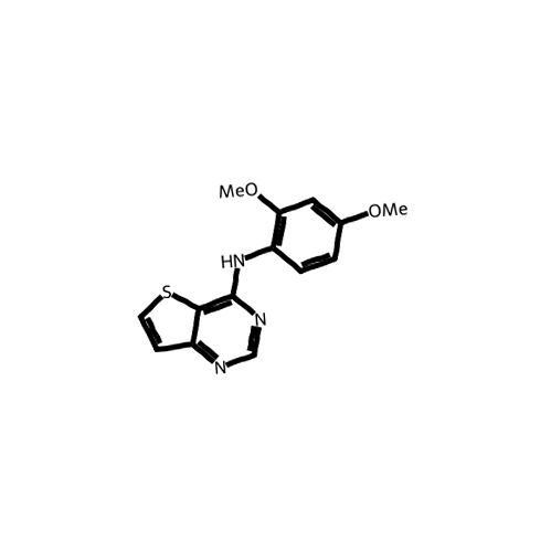 COc1ccc(Nc2ncnc3ccsc23)c(OC)c1